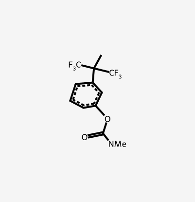 CNC(=O)Oc1cccc(C(C)(C(F)(F)F)C(F)(F)F)c1